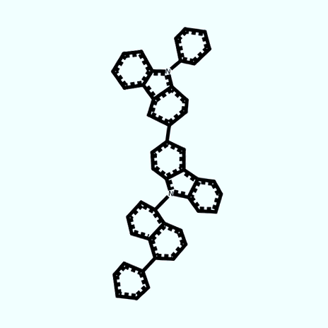 c1ccc(-c2cccc3c(-n4c5ccccc5c5cc(-c6ccc7c(c6)c6ccccc6n7-c6ccccc6)ccc54)cccc23)cc1